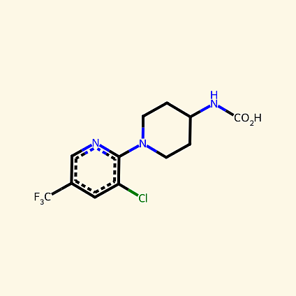 O=C(O)NC1CCN(c2ncc(C(F)(F)F)cc2Cl)CC1